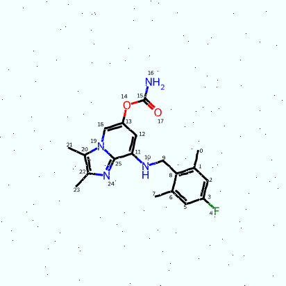 Cc1cc(F)cc(C)c1CNc1cc(OC(N)=O)cn2c(C)c(C)nc12